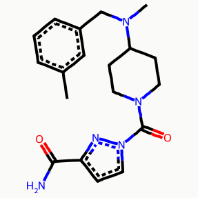 Cc1cccc(CN(C)C2CCN(C(=O)n3ccc(C(N)=O)n3)CC2)c1